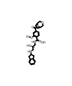 CCOc1cc(C(=O)N2C3CCC2COC3)ccc1C(=O)NC[C@H](O)CNC1Cc2ccccc2C1.Cl